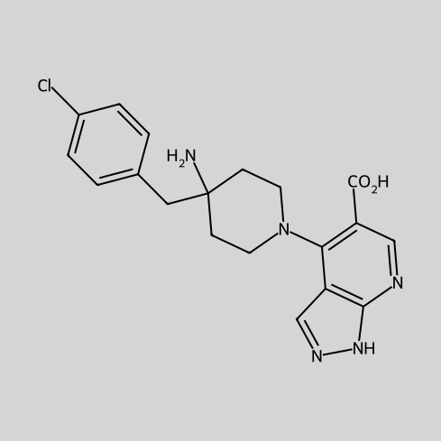 NC1(Cc2ccc(Cl)cc2)CCN(c2c(C(=O)O)cnc3[nH]ncc23)CC1